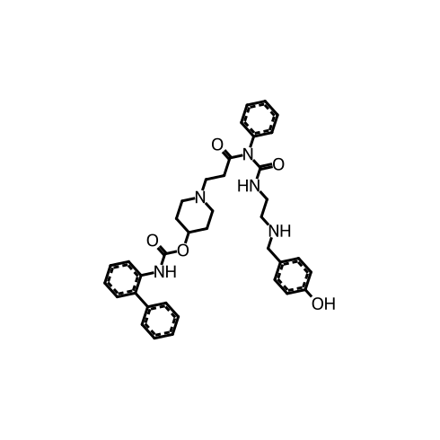 O=C(Nc1ccccc1-c1ccccc1)OC1CCN(CCC(=O)N(C(=O)NCCNCc2ccc(O)cc2)c2ccccc2)CC1